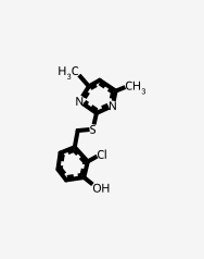 Cc1cc(C)nc(SCc2cccc(O)c2Cl)n1